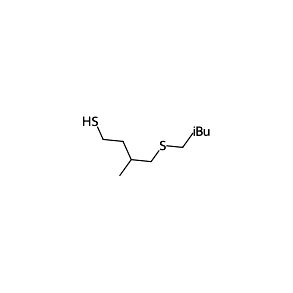 CCC(C)CSCC(C)CCS